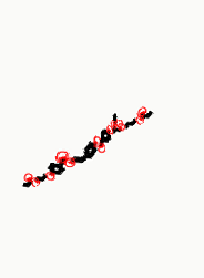 C=CC(=O)OCCCCOCC(COc1ccc(C(=O)Oc2ccc(CCOC(=O)c3ccc(OCCCOC(=O)C=C)cc3)cc2)cc1)OC(=O)C=C